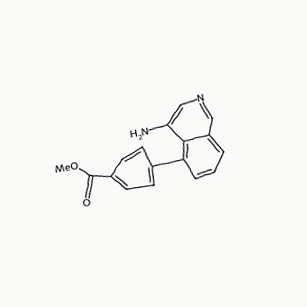 COC(=O)c1ccc(-c2cccc3cncc(N)c23)cc1